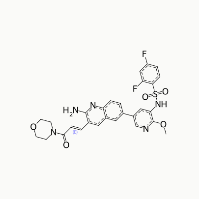 COc1ncc(-c2ccc3nc(N)c(/C=C/C(=O)N4CCOCC4)cc3c2)cc1NS(=O)(=O)c1ccc(F)cc1F